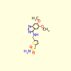 COc1cc2ncnc(NCc3ccc(CS(N)(=O)=O)s3)c2cc1OC